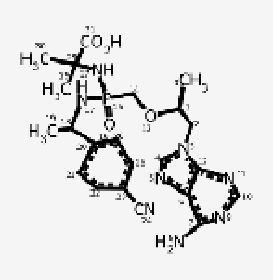 CC(Cn1cnc2c(N)ncnc21)OCP(=O)(NC(C)c1ccc(C#N)cc1)NC(C)(C)C(=O)O